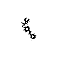 CCN(CC)CC(C)Oc1ccc(/C=C/c2ccccc2)cc1